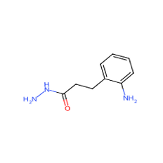 NNC(=O)CCc1ccccc1N